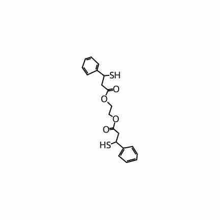 O=C(CC(S)c1ccccc1)OCCOC(=O)CC(S)c1ccccc1